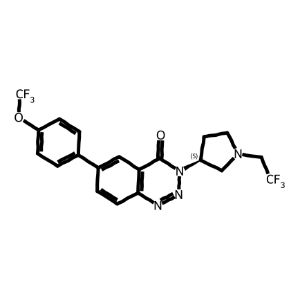 O=c1c2cc(-c3ccc(OC(F)(F)F)cc3)ccc2nnn1[C@H]1CCN(CC(F)(F)F)C1